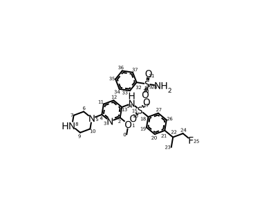 COc1nc(N2CCNCC2)ccc1NS(=O)(=O)c1ccc(C(C)CF)cc1.NS(=O)(=O)c1ccccc1